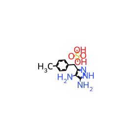 Cc1ccc(Cc2n[nH]c(N)c2N)cc1.O=S(=O)(O)O